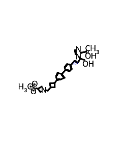 C[C@H](O)c1nccn1C(/C=C/c1ccc(-c2ccc(C3CC(CN4CC(S(C)(=O)=O)C4)C3)cc2)cc1)CO